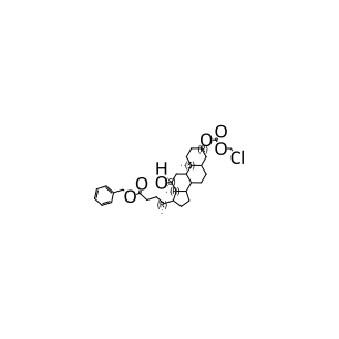 C[C@H](CCC(=O)OCc1ccccc1)C1CCC2C3CCC4C[C@H](OC(=O)OCCl)CC[C@]4(C)C3C[C@H](O)[C@@]21C